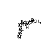 COC(=O)[C@H]1CC[C@H](Nc2ncc(F)c(-c3cccc(-c4ccc(OCc5ccccc5)nc4)c3)n2)CC1